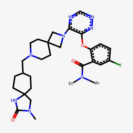 CCN(C(=O)c1cc(F)ccc1Oc1nncnc1N1CC2(CCN(CC3CCC4(CC3)CN(C)C(=O)N4)CC2)C1)C(C)C